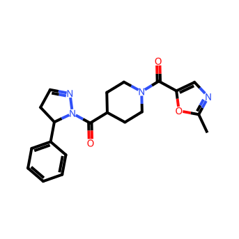 Cc1ncc(C(=O)N2CCC(C(=O)N3N=CCC3c3ccccc3)CC2)o1